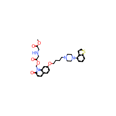 COC(=O)CNCC(=O)OCn1c(=O)ccc2ccc(OCCCCN3CCN(c4cccc5sccc45)CC3)cc21